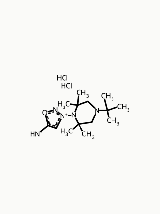 CC(C)(C)N1CC(C)(C)N([n+]2cc([NH-])on2)C(C)(C)C1.Cl.Cl